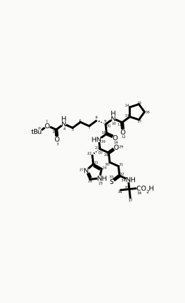 CC(C)(C)OC(=O)NCCCC[C@H](NC(=O)C1CCCC1)C(=O)N[C@@H](Cc1c[nH]cn1)C(=O)CCC(=S)NC(C)(C)C(=O)O